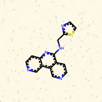 c1cc2nc(NCc3nccs3)c3ccncc3c2cn1